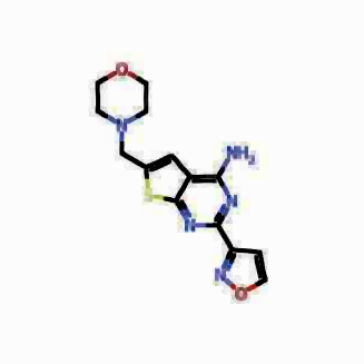 Nc1nc(-c2ccon2)nc2sc(CN3CCOCC3)cc12